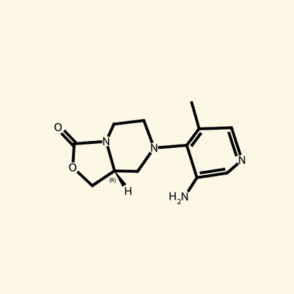 Cc1cncc(N)c1N1CCN2C(=O)OC[C@H]2C1